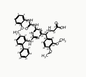 COc1ccccc1NC(=O)Nc1nc(Nc2ccccc2-c2ccccc2)nc(C(NCC(=O)O)c2ccc(OC)c(OC)c2)n1